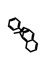 CC1=Cc2cc3c(c1c2-c1ccccc1)CCC=C3